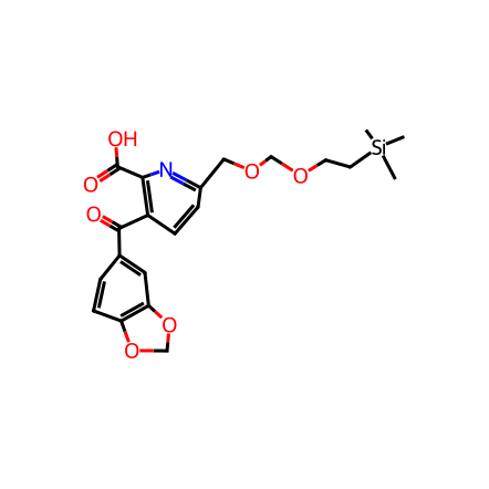 C[Si](C)(C)CCOCOCc1ccc(C(=O)c2ccc3c(c2)OCO3)c(C(=O)O)n1